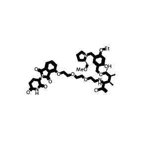 C=C(Cl)C(NCCOCCOCCOc1cccc2c1C(=O)N(C1CCC(=O)NC1=O)C2=O)[C@H](C)[C@H](C)[C@@H](C)OCc1cc(CN2CCC[C@H]2COC)c(OCC)cc1O